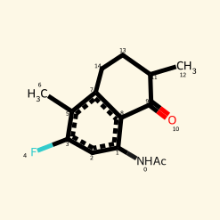 CC(=O)Nc1cc(F)c(C)c2c1C(=O)C(C)CC2